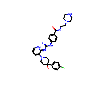 N=C(/N=c1\[nH]cccc1N1CCC(O)(c2ccc(Cl)cc2)CC1)Nc1ccc(C(=O)NCCN2CCNCC2)cc1